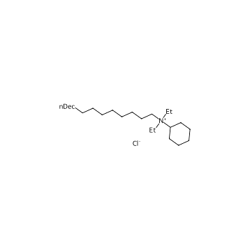 CCCCCCCCCCCCCCCCCC[N+](CC)(CC)C1CCCCC1.[Cl-]